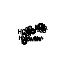 COc1ccccc1NC(=O)C(/N=N/c1ccc(-c2nc3ccc(C)c(S(=O)(=O)[O-])c3s2)cc1S(=O)(=O)[O-])=C(\C)O.[Na+].[Na+]